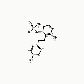 O=P(O)(O)N=C1CC=CC(O)=C1CCc1ccc(O)cc1